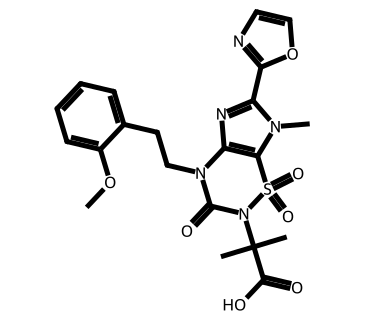 COc1ccccc1CCN1C(=O)N(C(C)(C)C(=O)O)S(=O)(=O)c2c1nc(-c1ncco1)n2C